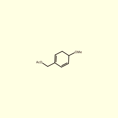 COC1C=CC(COC(C)=O)=CC1